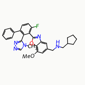 COc1cc(CNCC2CCCC2)cc2nc(-c3c(F)ccc(-c4ccccc4)c3-c3nncn3C)oc12